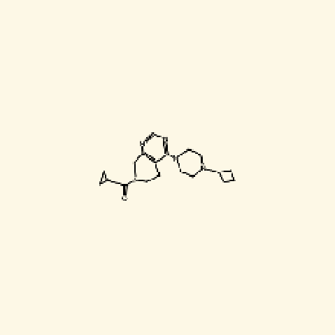 O=C(C1CC1)N1CCc2c(ncnc2N2CCN(C3CCC3)CC2)C1